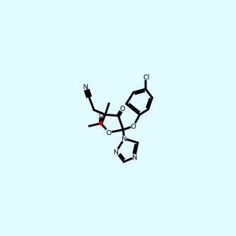 CC(=O)OC(Oc1ccc(Cl)cc1)(C(=O)C(C)(C)CC#N)n1cncn1